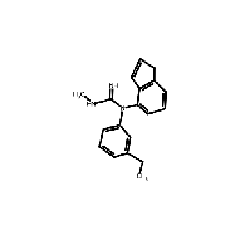 CCc1cccc(N(C(=N)NC)c2cccc3c2C=CC3)c1